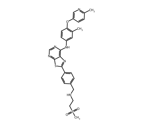 Cc1ccc(Oc2ccc(Nc3ncnc4sc(-c5ccc(CNCCS(C)(=O)=O)cc5)nc34)cc2C)cn1